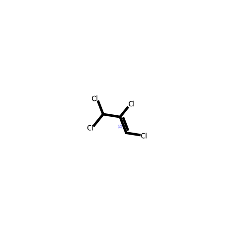 Cl/[C]=C(\Cl)C(Cl)Cl